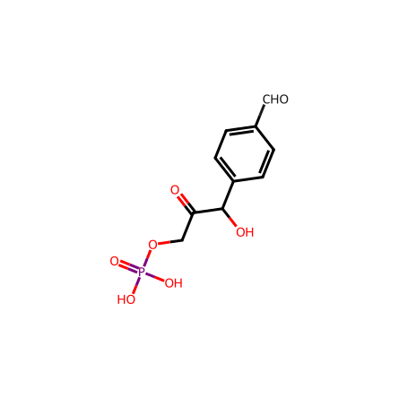 O=Cc1ccc(C(O)C(=O)COP(=O)(O)O)cc1